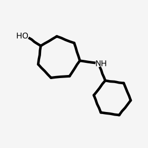 OC1CCCC(NC2CCCCC2)CC1